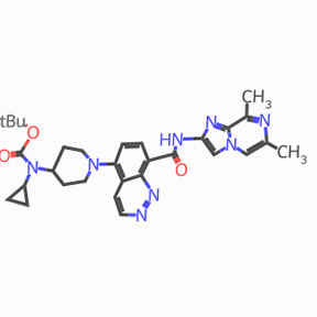 Cc1cn2cc(NC(=O)c3ccc(N4CCC(N(C(=O)OC(C)(C)C)C5CC5)CC4)c4ccnnc34)nc2c(C)n1